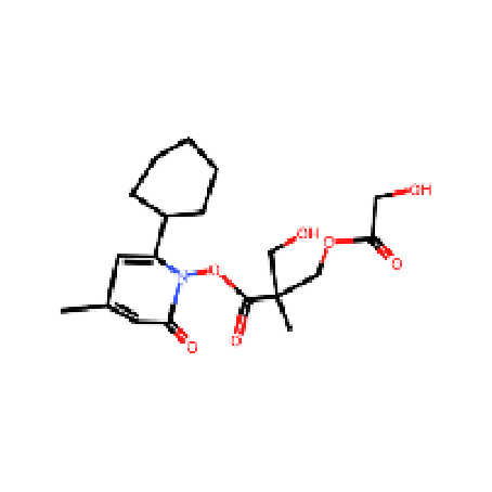 Cc1cc(C2CCCCC2)n(OC(=O)C(C)(CO)COC(=O)CO)c(=O)c1